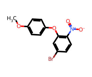 COc1ccc(Oc2cc(Br)ccc2[N+](=O)[O-])cc1